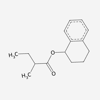 CCC(C)C(=O)OC1CCCc2ccccc21